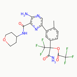 Cc1ccc(C(OC(=O)C(F)(F)F)(C(N)=O)C(F)(F)F)cc1-c1cnc(N)c(C(=O)NC2CCOCC2)n1